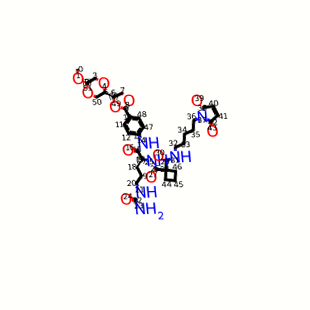 CO[C@H]1COC([C@H]2COC(c3ccc(NC(=O)[C@H](CCCNC(N)=O)NC(=O)C4(C(=O)NCCCCCN5C(=O)C=CC5=O)CCC4)cc3)O2)CO1